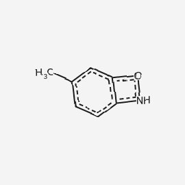 Cc1ccc2[nH]oc2c1